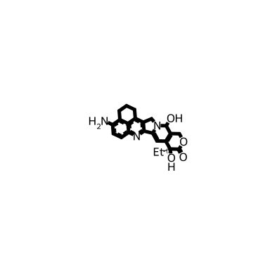 CC[C@@]1(O)C(=O)OCC2=C1C=C1c3nc4ccc(N)c5c4c(c3CN1C2O)CCC5